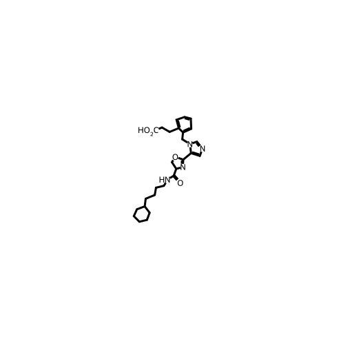 O=C(O)CCc1ccccc1Cn1cncc1C1=NC(C(=O)NCCCCC2CCCCC2)CO1